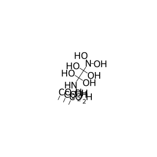 CC(=O)O.CC(=O)O.CC(=O)O.ONC(O)(O)C(O)(O)N(O)O